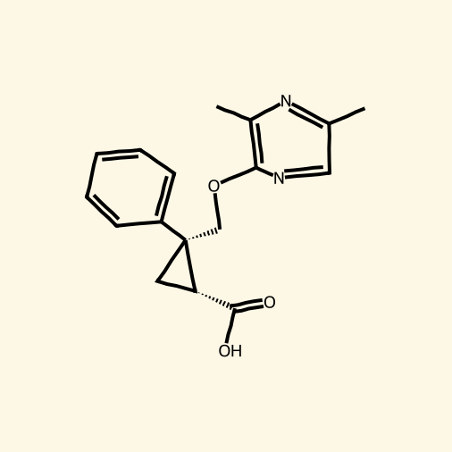 Cc1cnc(OC[C@@]2(c3ccccc3)C[C@H]2C(=O)O)c(C)n1